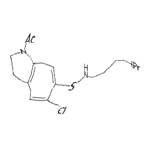 CC(=O)N1CCc2cc(Cl)c(SNCCC(C)C)cc21